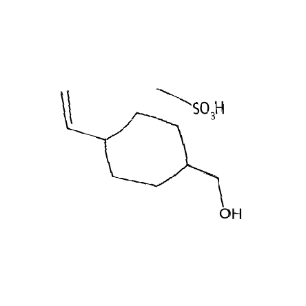 C=CC1CCC(CO)CC1.CS(=O)(=O)O